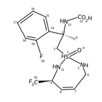 C[C@@](C[SH]1(=O)NCC=C[C@@H](C(F)(F)F)N1)(NC(=O)O)c1ccccc1F